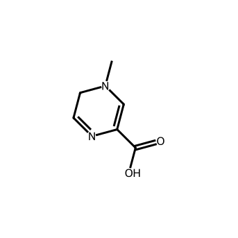 CN1C=C(C(=O)O)N=CC1